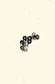 Cc1ccc2c(NC(=O)C3CCCCC3)cccc2c1Oc1ncccc1-c1ccnc(N[C@H]2CCCNC2)n1